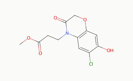 COC(=O)CCN1C(=O)COc2cc(O)c(Cl)cc21